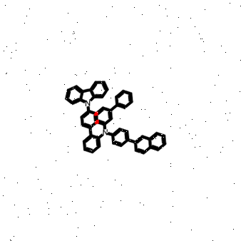 c1ccc(-c2cccc(N(c3ccc(-c4ccc5ccccc5c4)cc3)c3ccccc3-c3ccc(-n4c5ccccc5c5ccccc54)cc3)c2)cc1